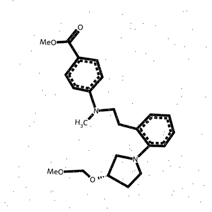 COCO[C@H]1CCN(c2ccccc2CCN(C)c2ccc(C(=O)OC)cc2)C1